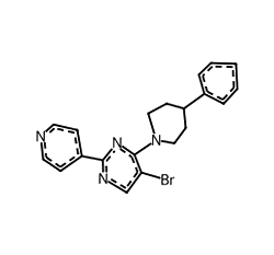 Brc1cnc(-c2ccncc2)nc1N1CCC(c2ccccc2)CC1